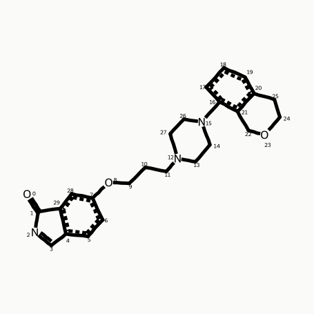 O=C1N=Cc2ccc(OCCCN3CCN(c4cccc5c4COCC5)CC3)cc21